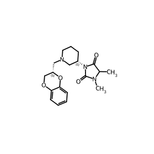 CC1C(=O)N([C@H]2CCCN(C[C@H]3COc4ccccc4O3)C2)C(=O)N1C